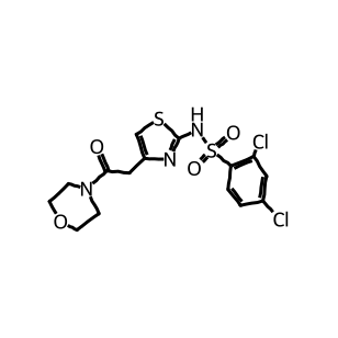 O=C(Cc1csc(NS(=O)(=O)c2ccc(Cl)cc2Cl)n1)N1CCOCC1